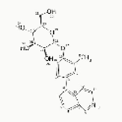 Cc1cc(-c2cccc3cnccc23)ccc1O[C@H]1O[C@H](CO)[C@@H](O)[C@H](O)[C@@H]1O